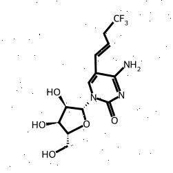 Nc1nc(=O)n([C@@H]2O[C@H](CO)[C@@H](O)[C@H]2O)cc1/C=C/CC(F)(F)F